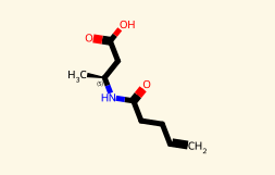 C=CCCC(=O)N[C@@H](C)CC(=O)O